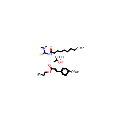 CC(O)C(=O)O.CCCCCCCCCCCCCCCCCC(=O)NC(CC)N(C)C.COc1ccc(C=CC(=O)OCCC(C)C)cc1